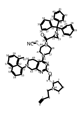 C#CCCN1CCC[C@H]1COc1nc2c(c(N3CCN(C(=O)C4CN4C(c4ccccc4)(c4ccccc4)c4ccccc4)[C@@H](CC#N)C3)n1)CCN(c1cccc3cccc(C)c13)C2